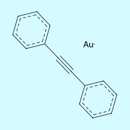 C(#Cc1ccccc1)c1ccccc1.[Au]